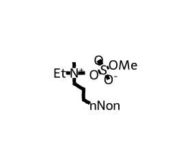 CCCCCCCCCCCC[N+](C)(C)CC.COS(=O)(=O)[O-]